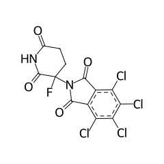 O=C1CCC(F)(N2C(=O)c3c(Cl)c(Cl)c(Cl)c(Cl)c3C2=O)C(=O)N1